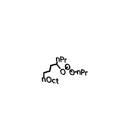 CCCCCCCCCCCC(CCC)OOOCCC